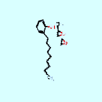 C1CO1.CC1CO1.CCCCCCCCCc1ccccc1O